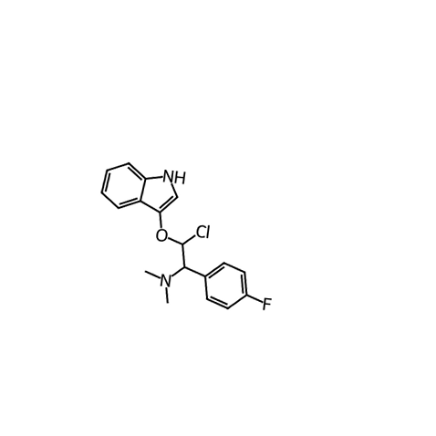 CN(C)C(c1ccc(F)cc1)C(Cl)Oc1c[nH]c2ccccc12